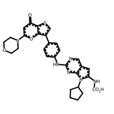 O=C(O)Nc1cc2cnc(Nc3ccc(-c4csc5c(=O)cc(N6CCOCC6)oc45)cc3)nc2n1C1CCCC1